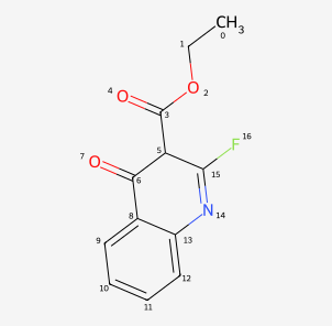 CCOC(=O)C1C(=O)c2ccccc2N=C1F